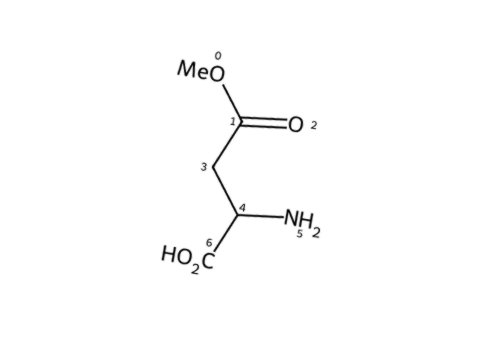 COC(=O)CC(N)C(=O)O